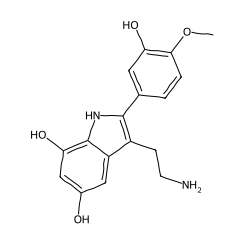 COc1ccc(-c2[nH]c3c(O)cc(O)cc3c2CCN)cc1O